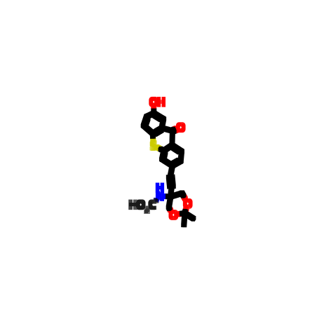 CC1(C)OCC(C#Cc2ccc3c(=O)c4cc(O)ccc4sc3c2)(NC(=O)O)CO1